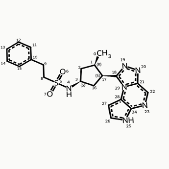 C[C@@H]1C[C@H](NS(=O)(=O)CCc2ccccc2)C[C@@H]1c1nnc2cnc3[nH]ccc3n12